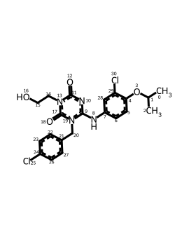 CC(C)Oc1ccc(Nc2nc(=O)n(CCO)c(=O)n2Cc2ccc(Cl)cc2)cc1Cl